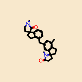 Cc1cc(Cc2cccc3c2CCC32CCN(C)C2=O)cc2c1CCC21CCC(=O)N1C